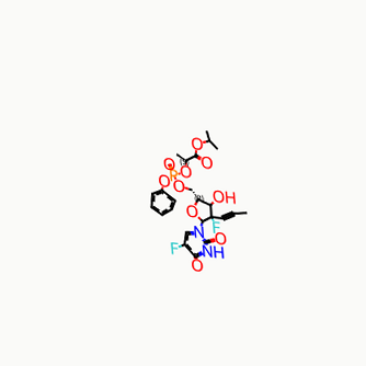 CC#CC1(F)C(O)[C@@H](COP(=O)(Oc2ccccc2)O[C@@H](C)C(=O)OC(C)C)OC1n1cc(F)c(=O)[nH]c1=O